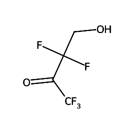 O=C(C(F)(F)F)C(F)(F)CO